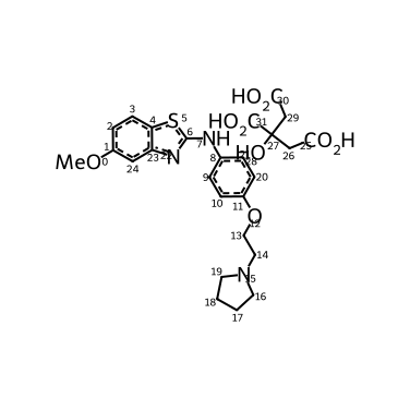 COc1ccc2sc(Nc3ccc(OCCN4CCCC4)cc3)nc2c1.O=C(O)CC(O)(CC(=O)O)C(=O)O